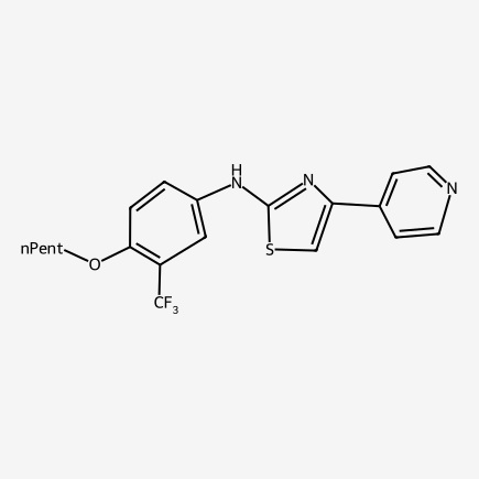 CCCCCOc1ccc(Nc2nc(-c3ccncc3)cs2)cc1C(F)(F)F